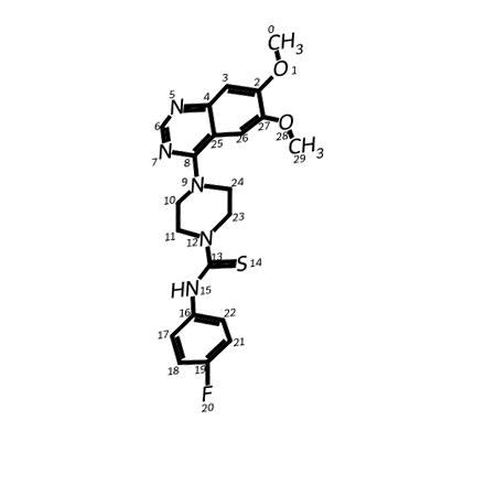 COc1cc2ncnc(N3CCN(C(=S)Nc4ccc(F)cc4)CC3)c2cc1OC